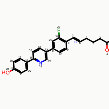 CC(O)CCC/C=C/c1ccc(-c2ccc(-c3ccc(O)cc3)nc2)cc1F